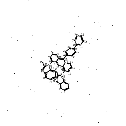 Cc1nc2ccccc2n1-c1cccc2c(-c3ccc(-c4ccccc4)cc3)c3cccc(-n4c(C)nc5ccccc54)c3cc12